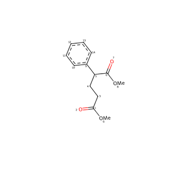 COC(=O)CCC(C(=O)OC)c1ccccc1